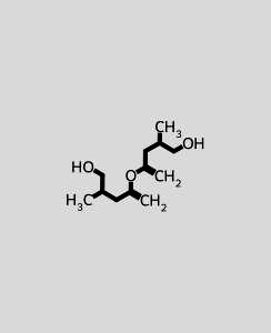 C=C(CC(C)CO)OC(=C)CC(C)CO